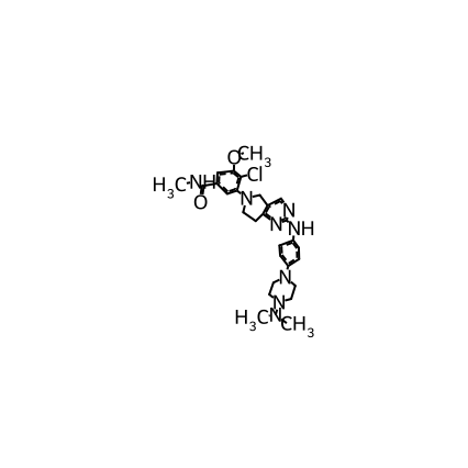 CNC(=O)c1cc(OC)c(Cl)c(N2CCc3nc(Nc4ccc(N5CCN(N(C)C)CC5)cc4)ncc3C2)c1